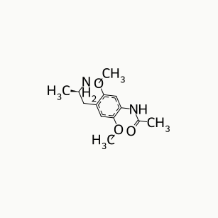 COc1cc(NC(C)=O)c(OC)cc1C[C@@H](C)N